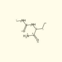 CCC(NC(=O)NC)C(N)=O